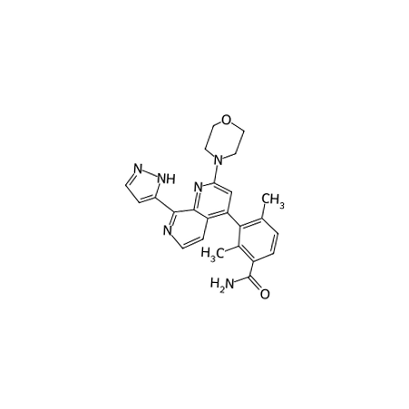 Cc1ccc(C(N)=O)c(C)c1-c1cc(N2CCOCC2)nc2c(-c3ccn[nH]3)nccc12